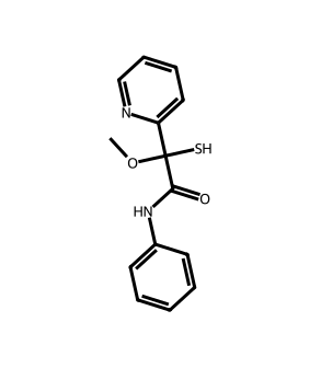 COC(S)(C(=O)Nc1ccccc1)c1ccccn1